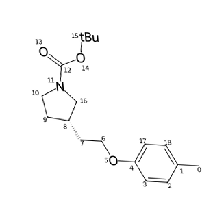 Cc1ccc(OCC[C@@H]2CCN(C(=O)OC(C)(C)C)C2)cc1